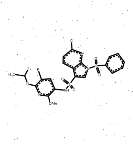 COc1nc(OC(C)F)c(F)cc1NS(=O)(=O)c1cn(S(=O)(=O)c2ccccc2)c2nc(Cl)ccc12